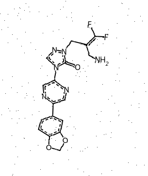 NCC(Cn1ncn(-c2cnc(-c3ccc4c(c3)OCO4)cn2)c1=O)=C(F)F